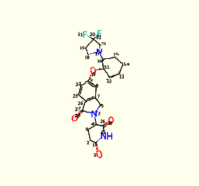 O=C1CCC(N2Cc3cc(OC4CCCCC4N4CCC(F)(F)C4)ccc3C2=O)C(=O)N1